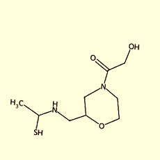 CC(S)NCC1CN(C(=O)CO)CCO1